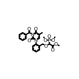 COC(=O)C(OCc1ccccc1-n1cc(C)c(=O)n(C(=O)c2ccccc2)c1=O)P(=O)(OC)OC